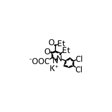 CCC(=O)c1c(CC)n(-c2ccc(Cl)c(Cl)c2)nc(C(=O)[O-])c1=O.[K+]